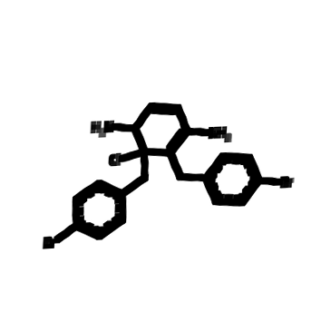 NC1=C(Cc2ccc(Br)cc2)C(Cl)(Cc2ccc(Br)cc2)C(N)C=C1